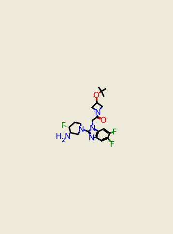 CC(C)(C)OC1CN(C(=O)Cn2c(N3CC[C@@H](F)[C@H](N)C3)nc3cc(F)c(F)cc32)C1